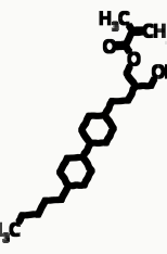 C=C(C)C(=O)OCC(CO)CCC1CCC(C2CCC(CCCCC)CC2)CC1